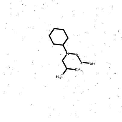 CC(C)CN(SSS)C1CCCCC1